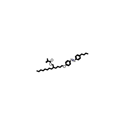 C=C(C)C(=O)OCC(CCCCCCCC)CCCCOc1ccc(/N=N/c2ccc(CCCC)cc2)cc1